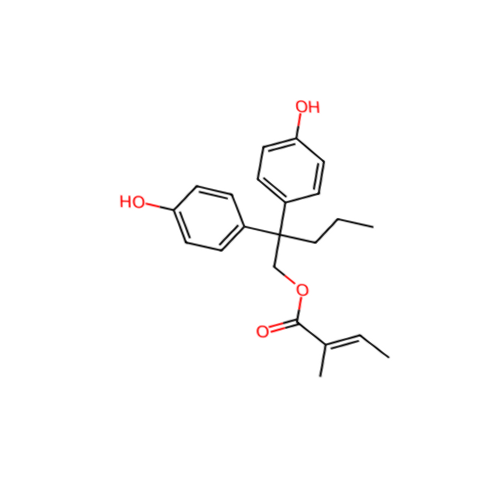 CC=C(C)C(=O)OCC(CCC)(c1ccc(O)cc1)c1ccc(O)cc1